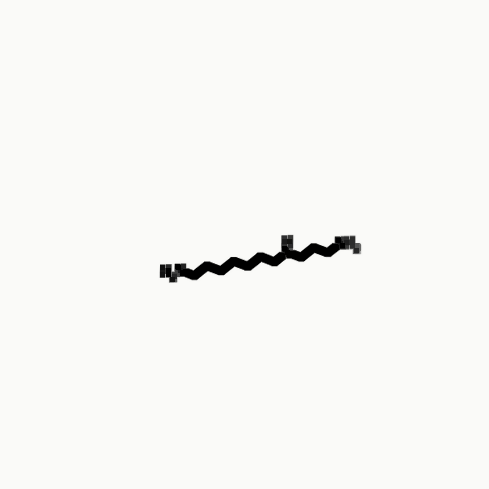 NCCCCCCCNCCCN